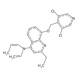 C=CN(/C=C\C)c1cc(CC)nc2c(OCc3c(Cl)cncc3Cl)cccc12